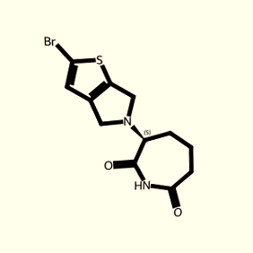 O=C1CCC[C@H](N2Cc3cc(Br)sc3C2)C(=O)N1